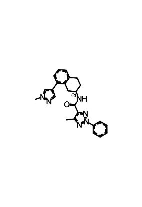 Cc1nn(-c2ccccc2)nc1C(=O)N[C@@H]1CCc2cccc(-c3cnn(C)c3)c2C1